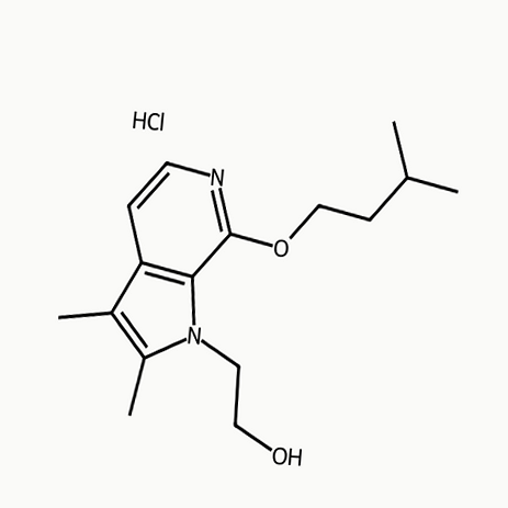 Cc1c(C)n(CCO)c2c(OCCC(C)C)nccc12.Cl